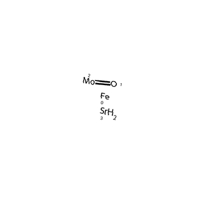 [Fe].[O]=[Mo].[SrH2]